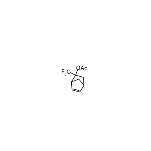 CC(=O)OC1(C(F)(F)F)CC2C=CC1C2